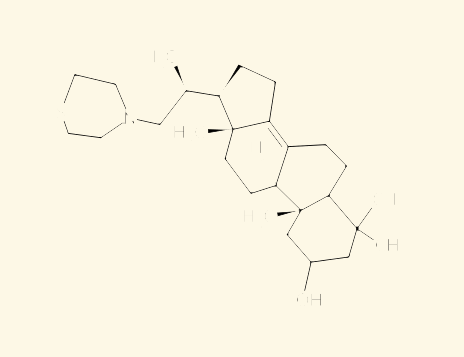 C[C@H](CN1CCSCC1)[C@H]1CCC2=C3CCC4C(C)(C)CC(O)C[C@]4(C)[C@H]3CC[C@@]21C